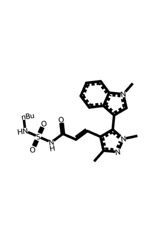 CCCCNS(=O)(=O)NC(=O)C=Cc1c(C)nn(C)c1-c1cn(C)c2ccccc12